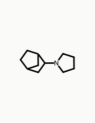 C1CCN(C2CC3CCC2C3)C1